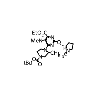 CCOC(=O)c1nc(OC[C@@H]2CCCN2C)nc(N2CCN(C(=O)OC(C)(C)C)CC2C)c1NC